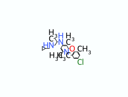 CCC(CNCC1CC1)Nc1cc(C)nc(Oc2c(C)cc(Cl)cc2C)c1C